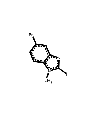 Cn1c(I)nc2cc(Br)ccc21